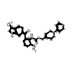 Nc1cccc(C(=O)c2ccc3c(Cl)c[nH]c3c2)c1NC(=O)OCC1CCN(c2ccncc2)CC1